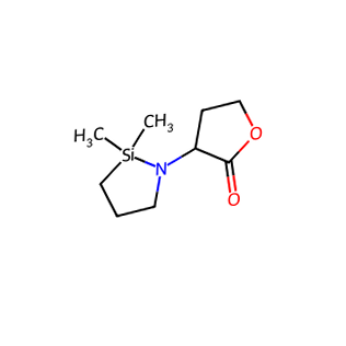 C[Si]1(C)CCCN1C1CCOC1=O